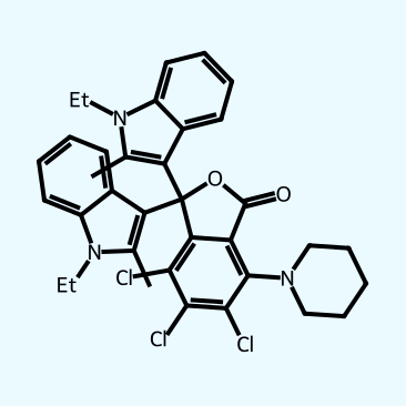 CCn1c(C)c(C2(c3c(C)n(CC)c4ccccc34)OC(=O)c3c(N4CCCCC4)c(Cl)c(Cl)c(Cl)c32)c2ccccc21